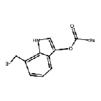 CC(C)(C)C(=O)Oc1c[nH]c2c(CBr)cccc12